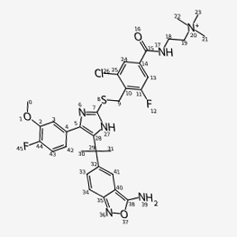 COc1cc(-c2nc(SCc3c(F)cc(C(=O)NCC[N+](C)(C)C)cc3Cl)[nH]c2C(C)(C)c2ccc3noc(N)c3c2)ccc1F